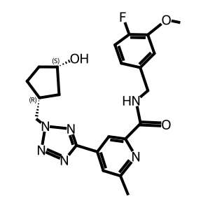 COc1cc(CNC(=O)c2cc(-c3nnn(C[C@@H]4CC[C@H](O)C4)n3)cc(C)n2)ccc1F